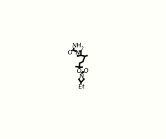 CCC1CN(C(=O)OC(C)(C)CCC(C)C2CN(C(N)=O)C2)C1